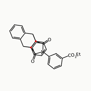 CCOC(=O)c1cccc(N2C(=O)C3=C(C2=O)C2c4ccccc4C3c3ccccc32)c1